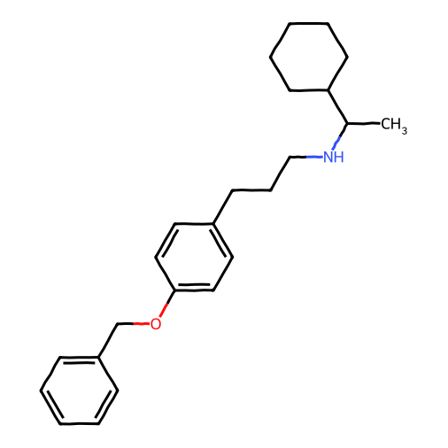 CC(NCCCc1ccc(OCc2ccccc2)cc1)C1CCCCC1